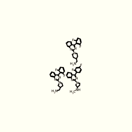 CNC1CCN(c2nc(-c3ccc(F)cc3F)c3ccccc3n2)C1.NCC1CCN(c2nc(-c3c(F)cccc3F)c3ccccc3n2)C1.NCC1CCN(c2nc(-c3c(F)cccc3F)c3ccccc3n2)CC1